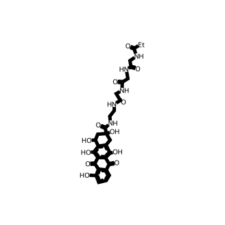 CCC(=O)NCC(=O)NCC(=O)NCC(=O)NCCNC(=O)C1(O)Cc2c(O)c3c(c(O)c2C(O)C1)C(=O)c1c(O)cccc1C3=O